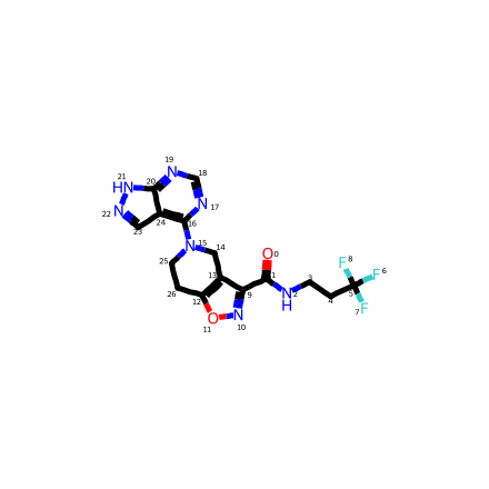 O=C(NCCC(F)(F)F)c1noc2c1CN(c1ncnc3[nH]ncc13)CC2